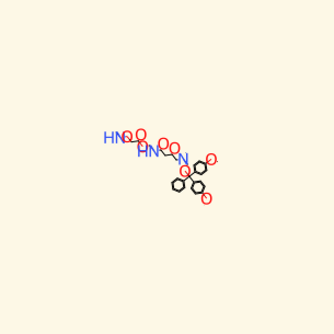 CNOCC(=O)OCNC(=O)CC(=O)CN(C)COC(c1ccccc1)(c1ccc(OC)cc1)c1ccc(OC)cc1